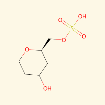 O=S(=O)(O)OC[C@H]1CC(O)CCO1